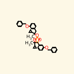 CC(Cc1cccc(OCc2ccccc2)c1)(O[PH](=O)OC(C)(Cc1cccc(OCc2ccccc2)c1)C1CC1)C1CC1